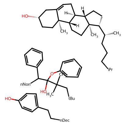 CC(C)CCC[C@@H](C)[C@H]1CC[C@H]2[C@@H]3CC=C4C[C@@H](O)CC[C@]4(C)[C@H]3CC[C@]12C.CCCCCCCCCC(c1ccccc1)C(O)(Oc1ccccc1)C(C)(C)CC(C)(C)C.CCCCCCCCCCCCc1ccc(O)cc1